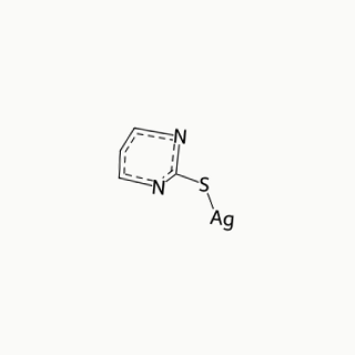 [Ag][S]c1ncccn1